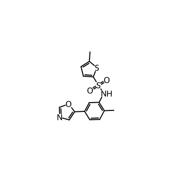 Cc1ccc(S(=O)(=O)Nc2cc(-c3cnco3)ccc2C)s1